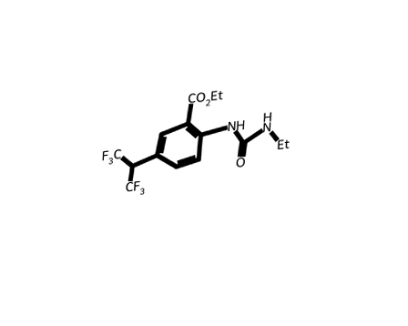 CCNC(=O)Nc1ccc(C(C(F)(F)F)C(F)(F)F)cc1C(=O)OCC